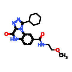 COCCNC(=O)c1ccc2[nH]c(=O)c3nnc(C4CCCCC4)n3c2c1